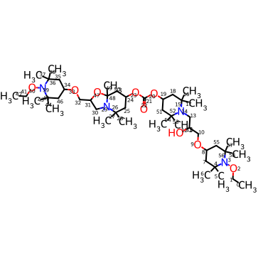 CCON1C(C)(C)CC(OCC(O)CN2C(C)(C)CC(OC(=O)OC3CC(C)(C)N4CC(COC5CC(C)(C)N(OCC)C(C)(C)C5)OC4(C)C3)CC2(C)C)CC1(C)C